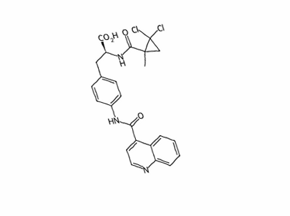 CC1(C(=O)N[C@@H](Cc2ccc(NC(=O)c3ccnc4ccccc34)cc2)C(=O)O)CC1(Cl)Cl